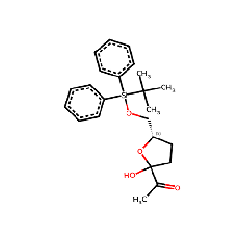 CC(=O)C1(O)CC[C@@H](CO[Si](c2ccccc2)(c2ccccc2)C(C)(C)C)O1